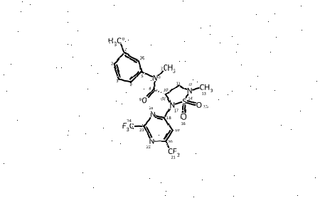 Cc1cccc(N(C)C(=O)[C@@H]2CN(C)S(=O)(=O)N2c2cc(C(F)(F)F)nc(C(F)(F)F)n2)c1